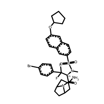 CN([C@@H](C(=O)N1C2CCC1CC(N)C2)C(F)(F)c1ccc(Br)cc1)S(=O)(=O)c1ccc2cc(OC3CCCC3)ccc2c1